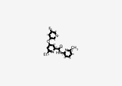 CCc1cc(Oc2cncc(F)c2)cc(C(=O)Nc2cccc(C)n2)n1